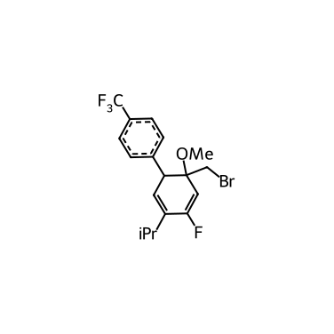 COC1(CBr)C=C(F)C(C(C)C)=CC1c1ccc(C(F)(F)F)cc1